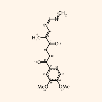 C=N/C=N\C=C(/C)C(=O)CCC(=O)c1ccc(OC)c(OC)c1